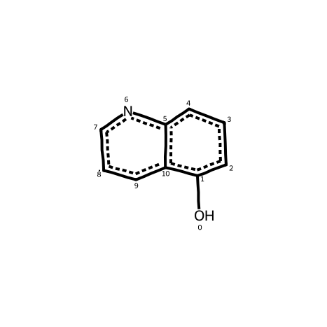 Oc1cccc2nc[c]cc12